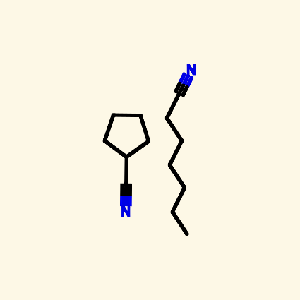 CCCCCCC#N.N#CC1CCCC1